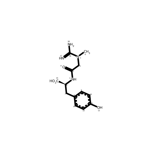 CN(CC(=O)N[C@@H](Cc1ccc(O)cc1)C(=O)O)C(=N)N